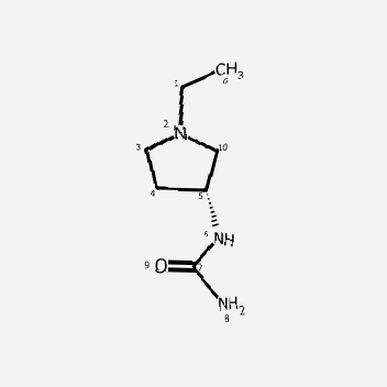 CCN1CC[C@@H](NC(N)=O)C1